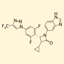 O=C1C(C2CC2)[C@H](c2c(F)cc(-n3cc(C(F)(F)F)nn3)cc2F)N1c1ccc2[nH]cnc2c1